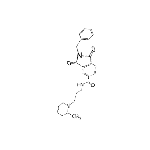 CC1CCCCN1CCCNC(=O)c1ccc2c(c1)C(=O)N(Cc1ccccc1)C2=O